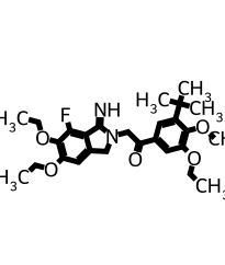 CCOc1cc(C(=O)CN2Cc3cc(OCC)c(OCC)c(F)c3C2=N)cc(C(C)(C)C)c1OC